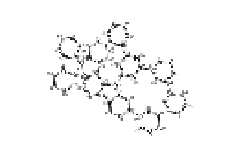 c1ccc(-c2cccc(-c3nc(-c4ccccc4)nc(-n4c5cc(-c6ccccc6)ccc5c5ccc6c(c54)-c4ccccc4C64c5ccccc5-c5ccccc54)n3)c2)cc1